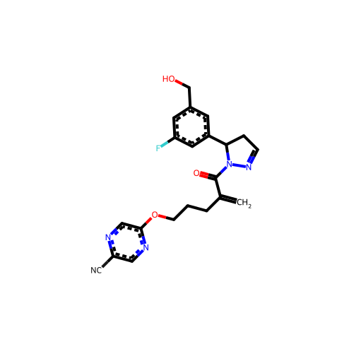 C=C(CCCOc1cnc(C#N)cn1)C(=O)N1N=CCC1c1cc(F)cc(CO)c1